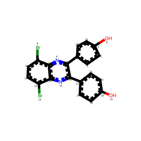 Oc1ccc(-c2nc3c(Br)ccc(Br)c3nc2-c2ccc(O)cc2)cc1